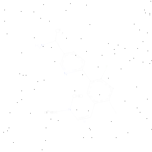 CCCCCN(C=O)/C=C\c1cc(-c2ccc(C(N)C(F)(F)F)cn2)c(F)cc1C